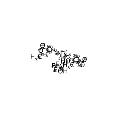 Cc1c(C(O)CN2CCN(CCc3ccc4c(c3)C[C@@H](C)OC4=O)CC2)ccc2c1COC2=O.O=C(O)C(F)(F)F